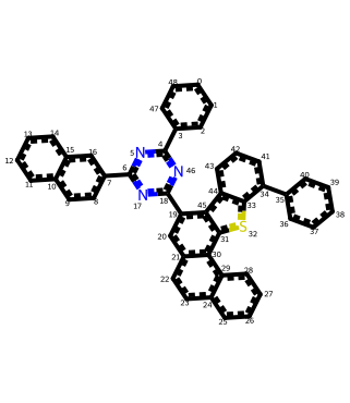 c1ccc(-c2nc(-c3ccc4ccccc4c3)nc(-c3cc4ccc5ccccc5c4c4sc5c(-c6ccccc6)cccc5c34)n2)cc1